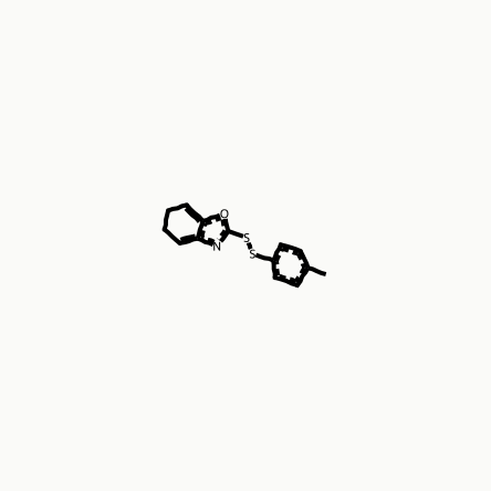 Cc1ccc(SSc2nc3c(o2)=CCCC=3)cc1